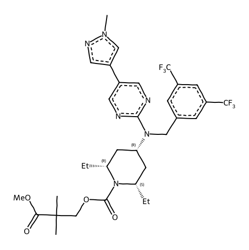 CC[C@@H]1C[C@H](N(Cc2cc(C(F)(F)F)cc(C(F)(F)F)c2)c2ncc(-c3cnn(C)c3)cn2)C[C@H](CC)N1C(=O)OCC(C)(C)C(=O)OC